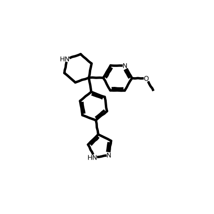 COc1ccc(C2(c3ccc(-c4cn[nH]c4)cc3)CCNCC2)cn1